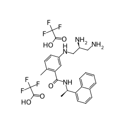 Cc1ccc(NC[C@@H](N)CN)cc1C(=O)N[C@H](C)c1cccc2ccccc12.O=C(O)C(F)(F)F.O=C(O)C(F)(F)F